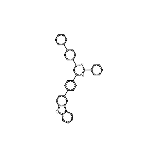 c1ccc(-c2ccc(-c3cc(-c4ccc(-c5ccc6oc7ccccc7c6c5)cc4)nc(-c4ccccc4)n3)cc2)cc1